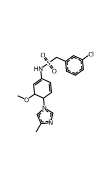 COC1C=C(NS(=O)(=O)Cc2cccc(Cl)c2)C=CC1n1cnc(C)c1